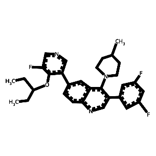 CCC(CC)Oc1c(F)cncc1-c1ccc2ncc(-c3cc(F)cc(F)c3)c(N3CCC(C)CC3)c2c1